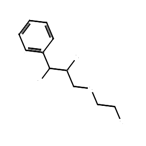 NCCNCC(N)C(c1ccccc1)[N+](=O)[O-]